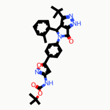 Cc1ccccc1C1c2c(C(C)(C)C)n[nH]c2C(=O)N1c1ccc(-c2cc(NC(=O)OC(C)(C)C)no2)cc1